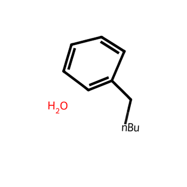 O.[CH2]CCCCc1ccccc1